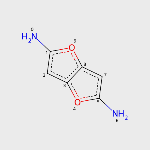 Nc1cc2oc(N)cc2o1